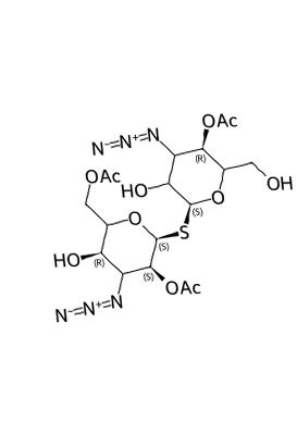 CC(=O)OCC1O[C@@H](S[C@@H]2OC(CO)[C@H](OC(C)=O)C(N=[N+]=[N-])C2O)[C@@H](OC(C)=O)C(N=[N+]=[N-])[C@H]1O